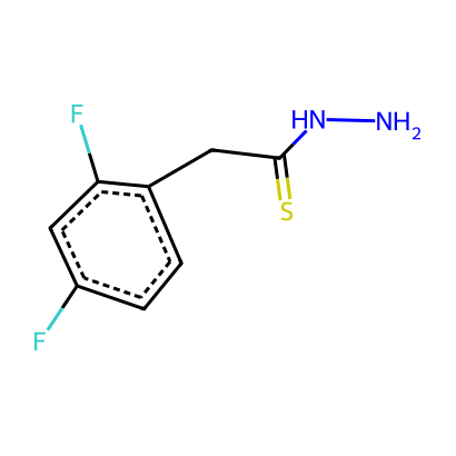 NNC(=S)Cc1ccc(F)cc1F